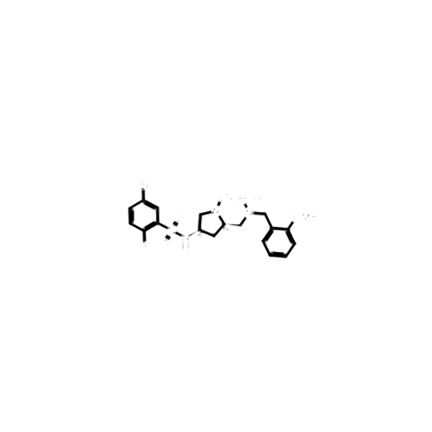 COc1ccccc1CN(C[C@H]1C[C@@H](NS(=O)(=O)c2cc(Br)ccc2Br)CN1C#N)C(=O)O